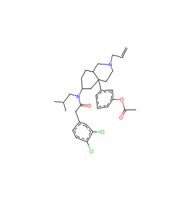 C=CCN1CCC2(c3cccc(OC(C)=O)c3)CC(N(CC(C)C)C(=O)Cc3ccc(Cl)c(Cl)c3)CCC2C1